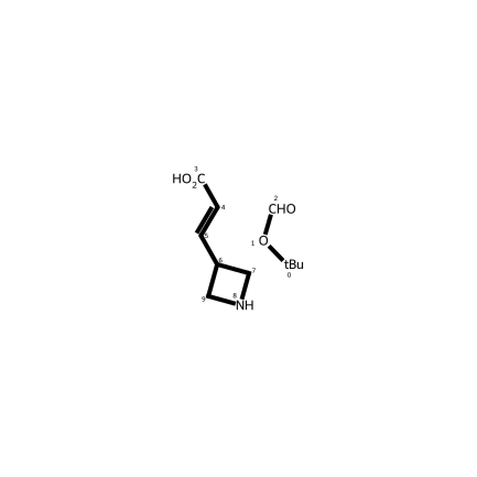 CC(C)(C)OC=O.O=C(O)/C=C/C1CNC1